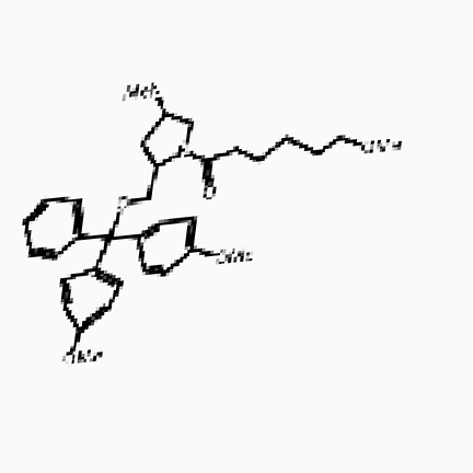 CN[C@@H]1CC(COC(c2ccccc2)(c2ccc(OC)cc2)c2ccc(OC)cc2)N(C(=O)CCCCCOC)C1